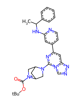 CC(Nc1cc(-c2cc3nncn3c(N3CC4=[N+](C(=O)OC(C)(C)C)CC3C4)n2)ccn1)c1ccccc1